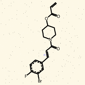 C=CC(=O)OC1CCN(C(=O)/C=C/c2ccc(F)c(Br)c2)CC1